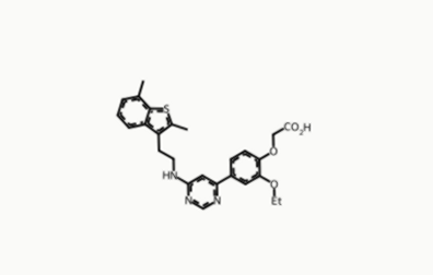 CCOc1cc(-c2cc(NCCc3c(C)sc4c(C)cccc34)ncn2)ccc1OCC(=O)O